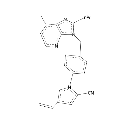 C=Cc1cc(C#N)n(-c2ccc(Cn3c(CCC)nc4c(C)ccnc43)cc2)c1